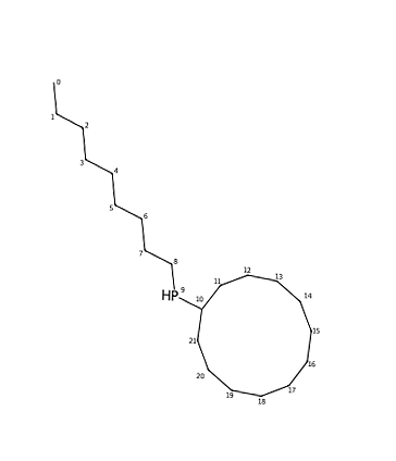 CCCCCCCCCPC1CCCCCCCCCCC1